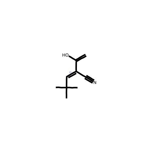 C=C(O)/C(C#N)=C/C(C)(C)C